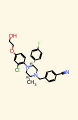 C[C@@H]1CN(c2ccc(OCCO)cc2Cl)[C@H](c2ccc(F)cc2)CN1Cc1ccc(C#N)cc1